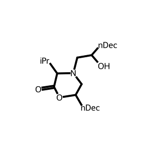 CCCCCCCCCCC(O)CN1CC(CCCCCCCCCC)OC(=O)C1C(C)C